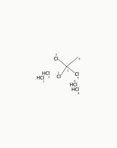 CC(Cl)(Cl)Cl.Cl.Cl.Cl.Cl